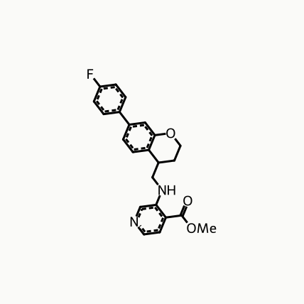 COC(=O)c1ccncc1NCC1CCOc2cc(-c3ccc(F)cc3)ccc21